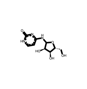 O=c1nc(NC2O[C@H](CO)[C@@H](O)[C@H]2O)cc[nH]1